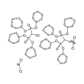 CCC(P(=O)(Oc1ccccc1)Oc1ccccc1)P(=O)(Oc1ccccc1)Oc1ccccc1.CCCC(P(=O)(Oc1ccccc1)Oc1ccccc1)P(=O)(Oc1ccccc1)Oc1ccccc1.[Cl][Ni][Cl].[Cl][Ni][Cl]